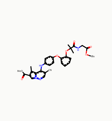 COC(=O)c1cn2ncc(C#N)c(Nc3ccc(Oc4ccccc4OC(C)(C)C(=O)NCC(=O)OC(C)(C)C)cc3)c2c1C